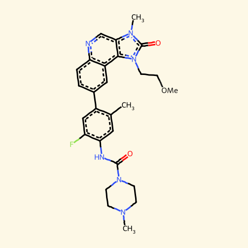 COCCn1c(=O)n(C)c2cnc3ccc(-c4cc(F)c(NC(=O)N5CCN(C)CC5)cc4C)cc3c21